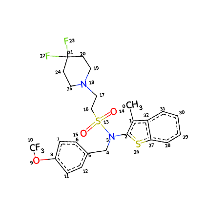 Cc1c(N(Cc2ccc(OC(F)(F)F)cc2)S(=O)(=O)CCN2CCC(F)(F)CC2)sc2ccccc12